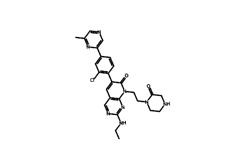 CCNc1ncc2cc(-c3ccc(-c4cncc(C)n4)cc3Cl)c(=O)n(CCN3CCNCC3=O)c2n1